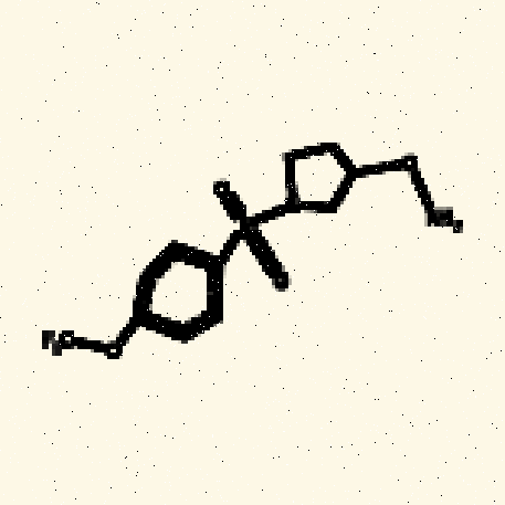 NOC1CCN(S(=O)(=O)c2ccc(OC(F)(F)F)cc2)C1